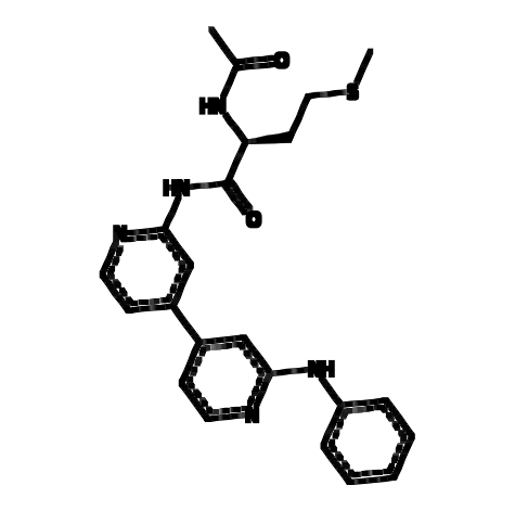 CSCC[C@H](NC(C)=O)C(=O)Nc1cc(-c2ccnc(Nc3ccccc3)c2)ccn1